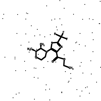 CCOC(=O)c1nc(C(F)(F)F)sc1N1CCO[C@@H](C)[C@H]1C